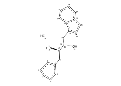 Cl.N[C@H](Cc1ccccc1)[C@@H](O)Cn1ncc2ccccc21